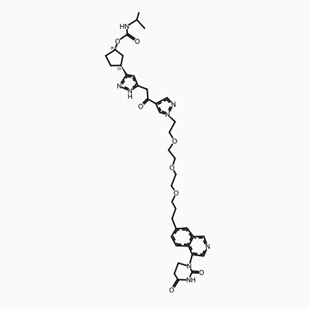 CC(C)NC(=O)O[C@@H]1CC[C@H](c2cc(CC(=O)c3cnn(CCOCCOCCOCCCc4ccc5c(N6CCC(=O)NC6=O)cncc5c4)c3)[nH]n2)C1